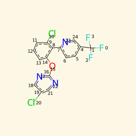 FC(F)(F)c1ccc(-c2c(Cl)cccc2Oc2ncc(Cl)cn2)nc1